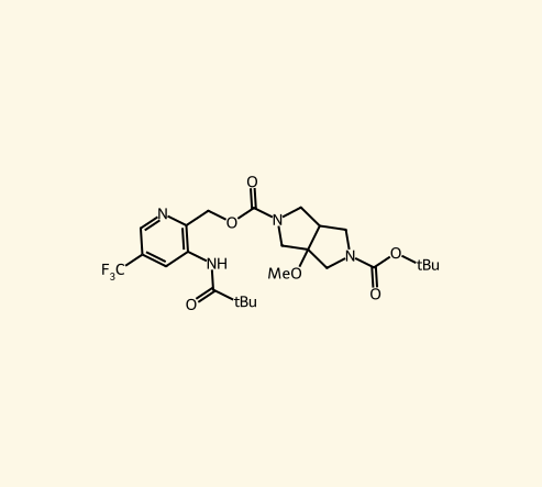 COC12CN(C(=O)OCc3ncc(C(F)(F)F)cc3NC(=O)C(C)(C)C)CC1CN(C(=O)OC(C)(C)C)C2